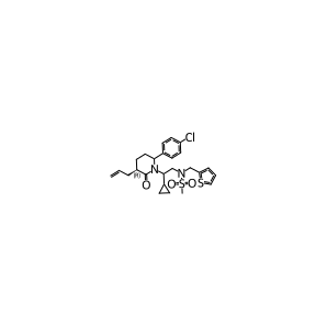 C=CC[C@H]1CCC(c2ccc(Cl)cc2)N(C(CN(Cc2cccs2)S(C)(=O)=O)C2CC2)C1=O